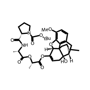 COc1ccc2c3c1O[C@H]1C(OC(=O)[C@H](C)OC(=O)[C@H](C)NC(=O)[C@@H]4CCCN4C(=O)OC(C)(C)C)=CC[C@@]4(O)[C@@H](C2)N(C)CCC314